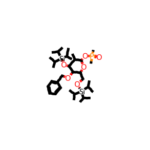 CC1C(OP(C)(C)=O)OC(CO[Si](C(C)C)(C(C)C)C(C)C)C(OCc2ccccc2)C1O[Si](C(C)C)(C(C)C)C(C)C